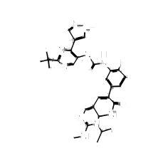 CNC1=NC=C2C=C(c3ccc(F)c(NC(=O)Nc4cnc(C(C)(C)C)nc4-c4cn[nH]c4)c3)C(=O)NC2N1C(C)C